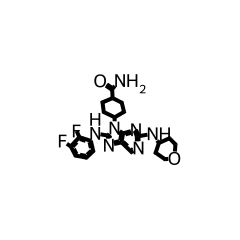 NC(=O)C1CCC(n2c(Nc3cccc(F)c3F)nc3cnc(NC4CCOCC4)nc32)CC1